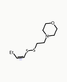 CC/C=C\SSCCN1CCOCC1